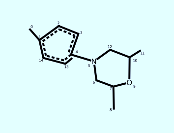 Cc1ccc(N2CC(C)OC(C)C2)cc1